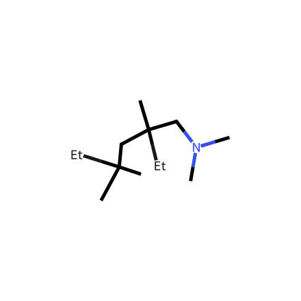 CCC(C)(C)CC(C)(CC)CN(C)C